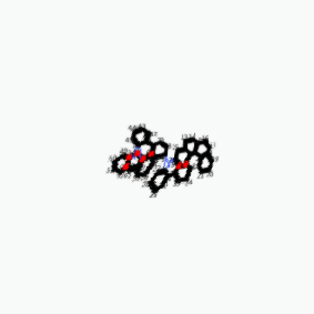 c1ccc(-c2cc(N(c3ccc4c(ccc5ccc6ccccc6c54)c3)c3ccccc3-c3ccccc3)ccc2-c2ccccc2-n2c3ccccc3c3ccccc32)cc1